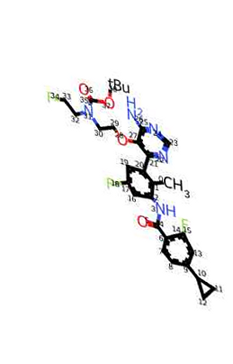 Cc1c(NC(=O)c2ccc(C3CC3)cc2F)cc(F)cc1-c1ncnc(N)c1OCCN(CCF)C(=O)OC(C)(C)C